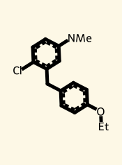 CCOc1ccc(Cc2cc(NC)ccc2Cl)cc1